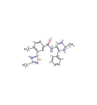 Cc1noc(-c2cc(C(=O)Nc3cnc(C)nc3-c3ccccc3)ccc2C)n1